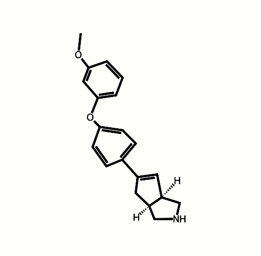 COc1cccc(Oc2ccc(C3=C[C@H]4CNC[C@H]4C3)cc2)c1